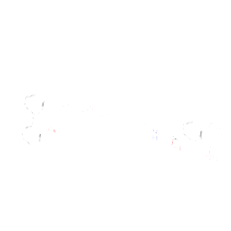 OCc1cc([C@@H](O)CNCCCCCCOCCCCc2cccc(-c3ccccc3O)c2)ccc1O